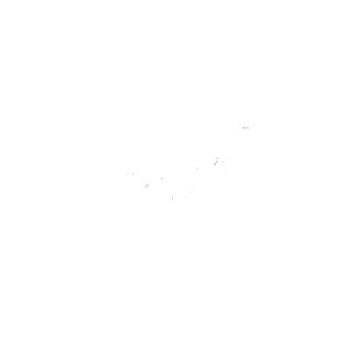 CC(C)OC(=O)C/C=C\CCO